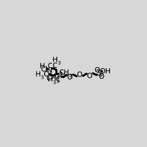 CC1(C)CC([N+](C)(C)CCOCCOCCOCCS(=O)(=O)O)CC(C)(C)N1Cl